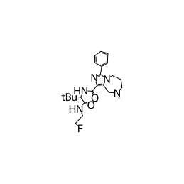 CN1CCCn2c(-c3ccccc3)nc(C(=O)NC(C(=O)NCCF)C(C)(C)C)c2C1